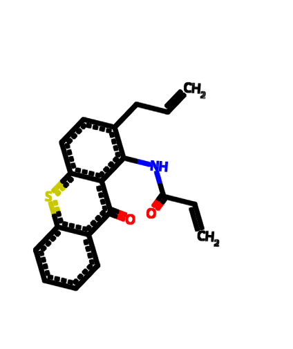 C=CCc1ccc2sc3ccccc3c(=O)c2c1NC(=O)C=C